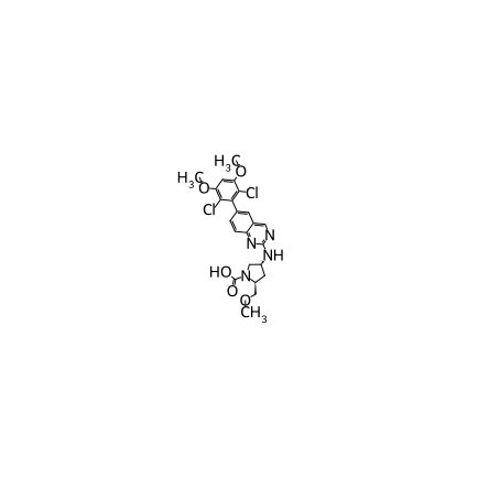 COC[C@@H]1C[C@H](Nc2ncc3cc(-c4c(Cl)c(OC)cc(OC)c4Cl)ccc3n2)CN1C(=O)O